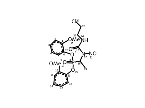 COc1ccccc1OP(=O)(Oc1ccccc1OC)C(C)N(N=O)C(=O)NCCCl